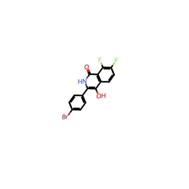 O=c1[nH]c(-c2ccc(Br)cc2)c(O)c2ccc(F)c(F)c12